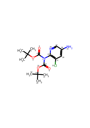 CC(C)(C)OC(=O)N(C(=O)OC(C)(C)C)c1ncc(N)cc1Cl